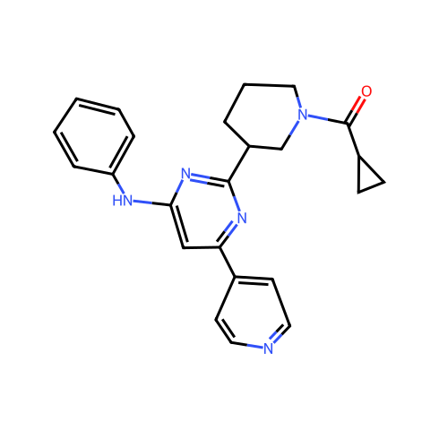 O=C(C1CC1)N1CCCC(c2nc(Nc3ccccc3)cc(-c3ccncc3)n2)C1